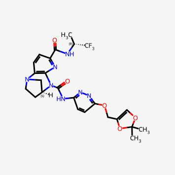 C[C@@H](NC(=O)c1ccc2c(n1)N(C(=O)Nc1ccc(OCC3=COC(C)(C)O3)nn1)[C@H]1CCN2C1)C(F)(F)F